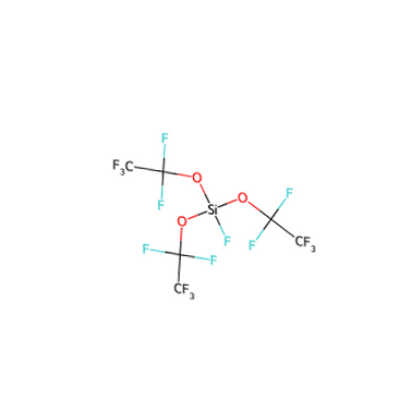 FC(F)(F)C(F)(F)O[Si](F)(OC(F)(F)C(F)(F)F)OC(F)(F)C(F)(F)F